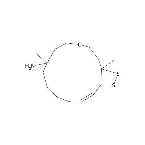 CC1(N)CCCC/C=C\C2SSC2(C)CCCCC1